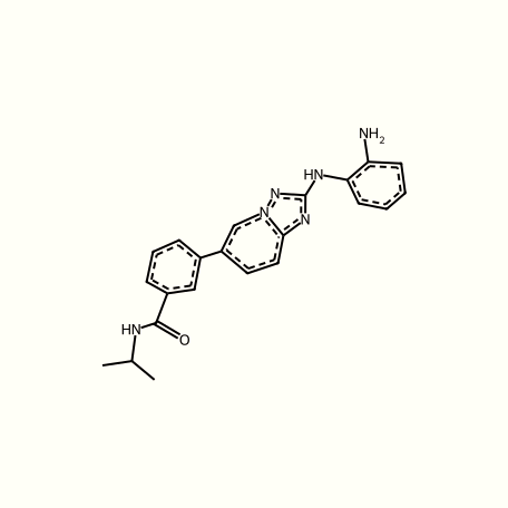 CC(C)NC(=O)c1cccc(-c2ccc3nc(Nc4ccccc4N)nn3c2)c1